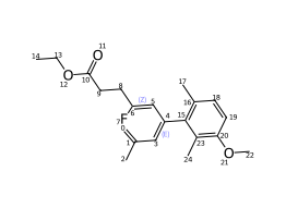 C=C(C)/C=C(\C=C(/F)CCC(=O)OCC)c1c(C)ccc(OC)c1C